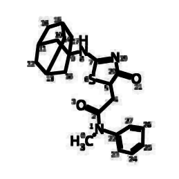 CN(C(=O)CC1SC(NC23CC4CC(CC(C4)C2)C3)=NC1=O)c1ccccc1